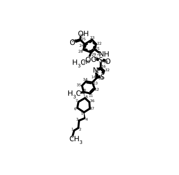 CCCCC[C@H]1CC[C@H](C2(C)C=CC(c3nc(S(=O)(=O)Nc4ccc(C(=O)O)cc4OC)cs3)=CC2)CC1